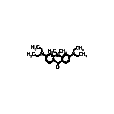 CCN(CC)c1ccc2c(c1)[Si](C)(C)c1cc(N(CC)CC)ccc1C2=O